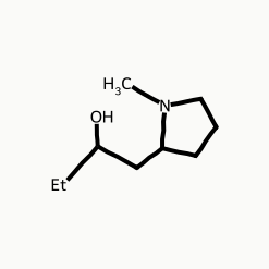 CCC(O)CC1CCCN1C